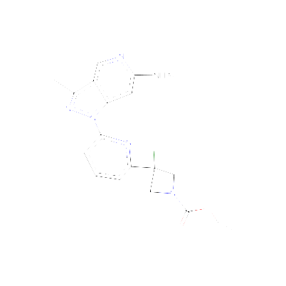 CC(=O)Nc1cc2c(cn1)c(C)nn2-c1cccc(C2(F)CN(C(=O)OC(C)(C)C)C2)n1